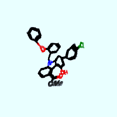 COC(=O)c1cccc2c1c1c(O)cc(-c3ccc(Cl)cc3)cc1n2Cc1ccccc1Oc1ccccc1